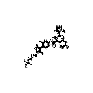 Cc1nn(COCC[Si](C)(C)C)c(C)c1-c1ccc(NC(=O)[C@@H](NC(=O)c2ccnn2C)[C@H]2CC[C@H](C)CC2)nc1F